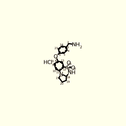 Cl.NCc1ccc(Oc2ccc3c(c2)S(=O)(=O)NC2CCCN32)cc1